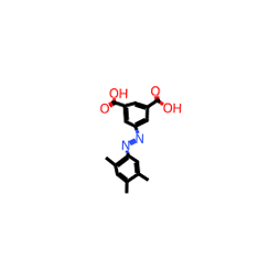 Cc1cc(C)c(N=Nc2cc(C(=O)O)cc(C(=O)O)c2)cc1C